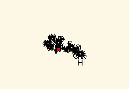 C=CC(=O)Nc1cc(Nc2nccc(-c3cn(C)c4ccccc34)n2)c(OC)cc1N(C)CCN(C)Cc1cc2c(cc1F)C(=O)N(C1CCC(=O)NC1=O)C2